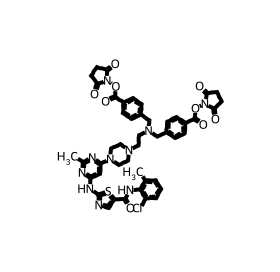 Cc1nc(Nc2ncc(C(=O)Nc3c(C)cccc3Cl)s2)cc(N2CCN(CCN(Cc3ccc(C(=O)ON4C(=O)CCC4=O)cc3)Cc3ccc(C(=O)ON4C(=O)CCC4=O)cc3)CC2)n1